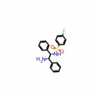 N[C@H](c1ccccc1)[C@H](NS(=O)(=O)c1ccc(F)cc1)c1ccccc1